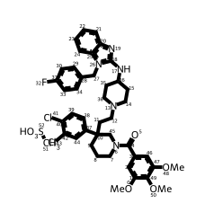 COc1cc(C(=O)N2CCCC(CCN3CCC(Nc4nc5ccccc5n4Cc4ccc(F)cc4)CC3)(c3ccc(Cl)c(Cl)c3)C2)cc(OC)c1OC.CS(=O)(=O)O